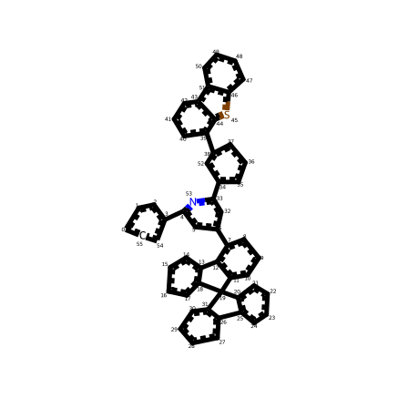 c1ccc(-c2cc(-c3cccc4c3-c3ccccc3C43c4ccccc4-c4ccccc43)cc(-c3cccc(-c4cccc5c4sc4ccccc45)c3)n2)cc1